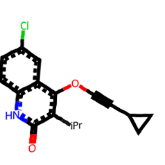 CC(C)c1c(OC#CC2CC2)c2cc(Cl)ccc2[nH]c1=O